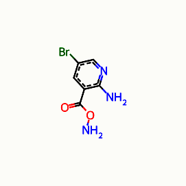 NOC(=O)c1cc(Br)cnc1N